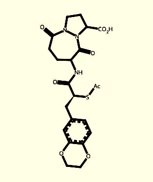 CC(=O)S[C@@H](Cc1ccc2c(c1)OCCO2)C(=O)NC1CCC(=O)N2CCC(C(=O)O)N2C1=O